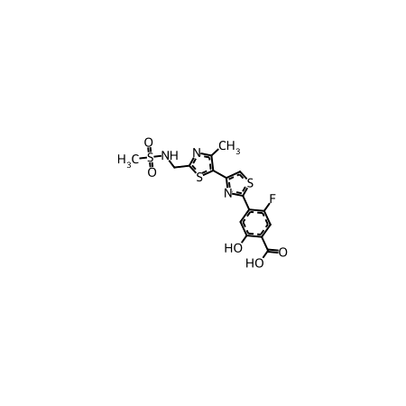 Cc1nc(CNS(C)(=O)=O)sc1-c1csc(-c2cc(O)c(C(=O)O)cc2F)n1